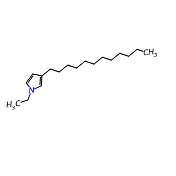 CCCCCCCCCCCCc1ccn(CC)c1